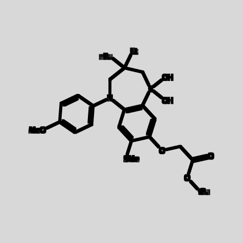 CCCCC1(CC)CN(c2ccc(OC)cc2)c2cc(SC)c(OCC(=O)OC(C)(C)C)cc2S(O)(O)C1